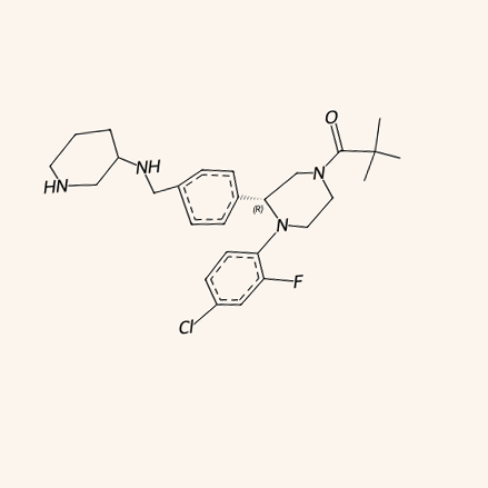 CC(C)(C)C(=O)N1CCN(c2ccc(Cl)cc2F)[C@H](c2ccc(CNC3CCCNC3)cc2)C1